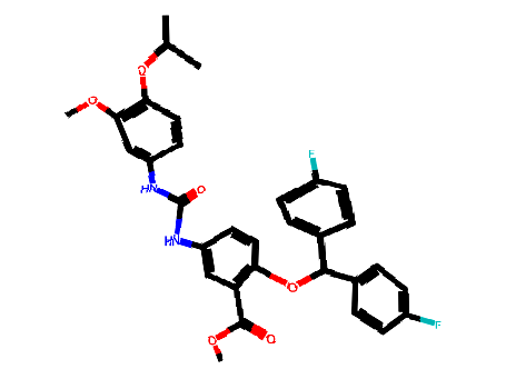 COC(=O)c1cc(NC(=O)Nc2ccc(OC(C)C)c(OC)c2)ccc1OC(c1ccc(F)cc1)c1ccc(F)cc1